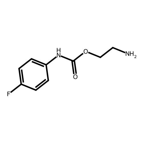 NCCOC(=O)Nc1ccc(F)cc1